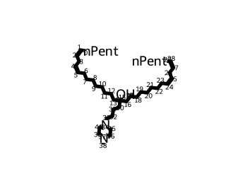 CCCCC/C=C\C/C=C\CCCCCCCCC(O)(CCCCCCCC/C=C\C/C=C\CCCCC)CCCCN1CCN(C)CC1